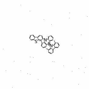 Cc1cccc2c3cccc(C)c3n(B3c4ccccc4-n4c5ccc6c7ccccc7sc6c5c5cccc3c54)c12